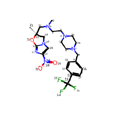 CN(CCN1CCN(Cc2ccc(C(F)(F)F)cc2)CC1)C[C@@]1(C)Cn2cc([N+](=O)[O-])nc2O1